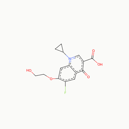 O=C(O)c1cn(C2CC2)c2cc(OCCO)c(F)cc2c1=O